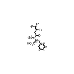 CC(C)(C)N(C(=O)CC(F)=C(F)F)[C@@H](Cc1ccccc1)C(=O)O